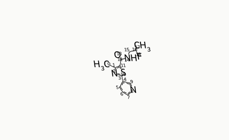 Cc1nc(-c2cccnc2)sc1C(=O)NCC(C)F